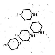 C1CCNCC1.C1CNCCN1.C1CNCCN1.C1COCCN1